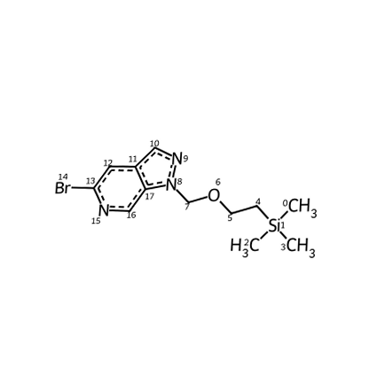 C[Si](C)(C)CCOCn1ncc2cc(Br)ncc21